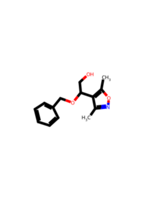 Cc1noc(C)c1C(CO)OCc1ccccc1